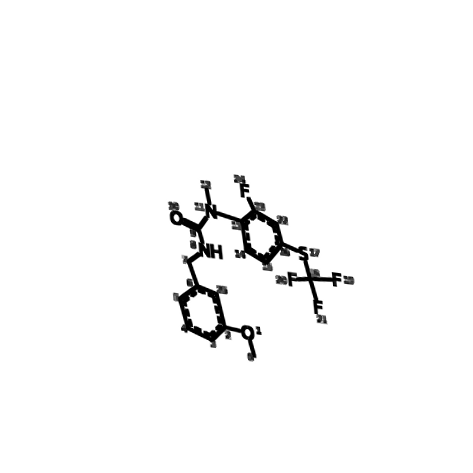 COc1cccc(CNC(=O)N(C)c2ccc(SC(F)(F)F)cc2F)c1